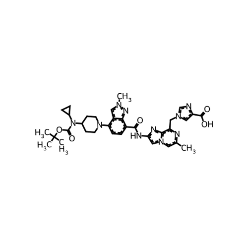 Cc1cn2cc(NC(=O)c3ccc(N4CCC(N(C(=O)OC(C)(C)C)C5CC5)CC4)c4cn(C)nc34)nc2c(Cn2cnc(C(=O)O)c2)n1